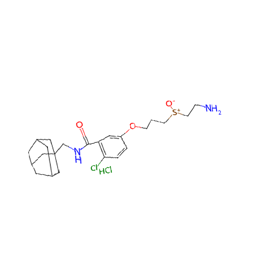 Cl.NCC[S+]([O-])CCCOc1ccc(Cl)c(C(=O)NCC23CC4CC(CC(C4)C2)C3)c1